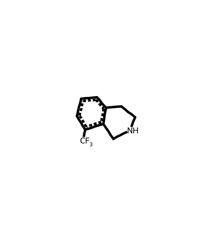 FC(F)(F)c1cccc2c1CNCC2